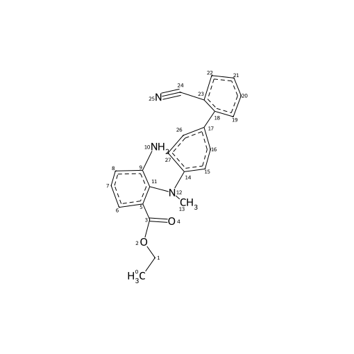 CCOC(=O)c1cccc(N)c1N(C)c1ccc(-c2ccccc2C#N)cc1